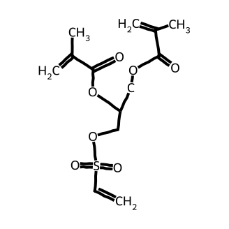 C=CS(=O)(=O)OCC(COC(=O)C(=C)C)OC(=O)C(=C)C